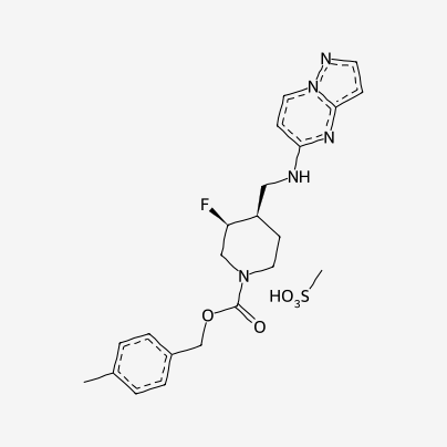 CS(=O)(=O)O.Cc1ccc(COC(=O)N2CC[C@H](CNc3ccn4nccc4n3)[C@H](F)C2)cc1